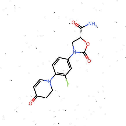 NC(=O)[C@H]1CN(c2ccc(N3C=CC(=O)CC3)c(F)c2)C(=O)O1